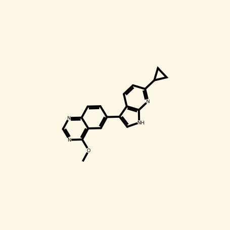 COc1ncnc2ccc(-c3c[nH]c4nc(C5CC5)ccc34)cc12